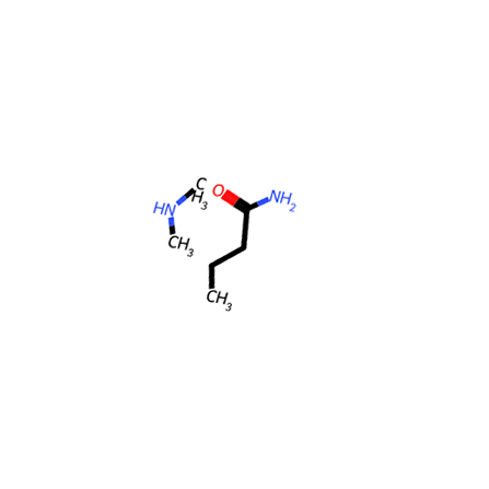 CCCC(N)=O.CNC